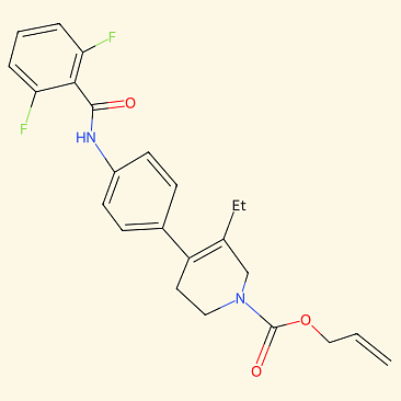 C=CCOC(=O)N1CCC(c2ccc(NC(=O)c3c(F)cccc3F)cc2)=C(CC)C1